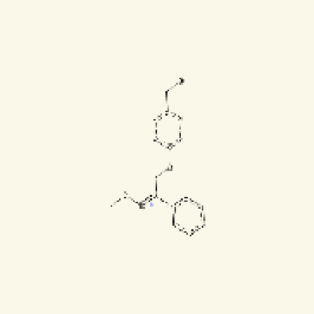 CO/N=C(\COc1ccc(CBr)cc1)c1ccccc1